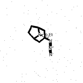 CCOC(=O)N1C2CCC1CC(N=[N+]=[N-])C2